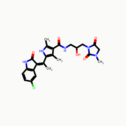 C/C(=C1/C(=O)Nc2ccc(Cl)cc21)c1[nH]c(C)c(C(=O)NCC(O)CN2C(=O)CN(C)C2=O)c1C